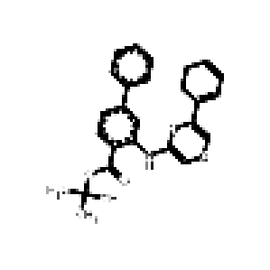 CC(C)(C)OC(=O)c1ccc(-c2ccccc2)cc1NC1=COC=C(C2=CC=CCC2)O1